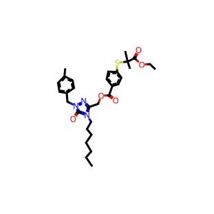 CCCCCCCn1c(COC(=O)c2ccc(SC(C)(C)C(=O)OCC)cc2)nn(Cc2ccc(C)cc2)c1=O